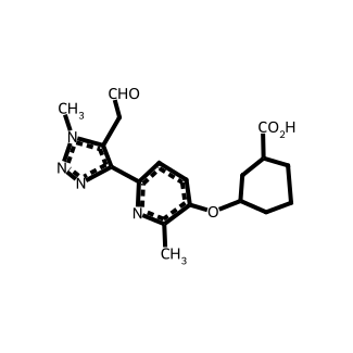 Cc1nc(-c2nnn(C)c2CC=O)ccc1OC1CCCC(C(=O)O)C1